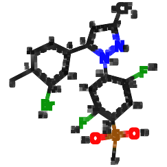 Cc1ccc(-c2cc(C(F)(F)F)nn2-c2cc(F)c(S(C)(=O)=O)cc2F)cc1Br